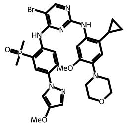 COc1cnn(-c2ccc(Nc3nc(Nc4cc(OC)c(N5CCOCC5)cc4C4CC4)ncc3Br)c(P(C)(C)=O)c2)c1